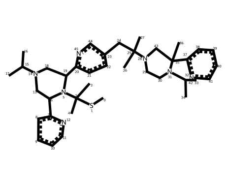 CSC(C)(C)N1C(c2ccccn2)CN(C(C)C)CC1c1ccc(CC(C)(C)N2CCN(C(C)C)C(C)(c3ccccn3)C2)cn1